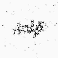 CC(C)[C@H](N)C(=O)CC[C@H]1O[C@@H](n2c(=O)sc3cnc(N)nc32)[C@H](O)[C@@H]1O